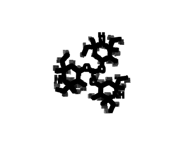 CCC1(C)CC(OP(OC2CC(C)(CC)NC(C)(CC)C2C)OC2CC(C)(CC)NC(C)(CC)C2C)C(C)C(C)(CC)N1